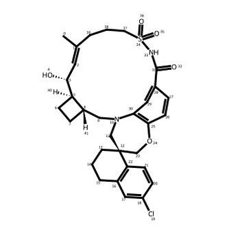 C/C1=C\[C@@H](O)[C@@H]2CC[C@H]2CN2C[C@@]3(CCCc4cc(Cl)ccc43)COc3ccc(cc32)C(=O)NS(=O)(=O)CCC1